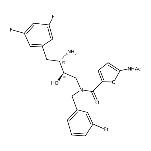 CCc1cccc(CN(C[C@@H](O)[C@@H](N)Cc2cc(F)cc(F)c2)C(=O)c2ccc(NC(C)=O)o2)c1